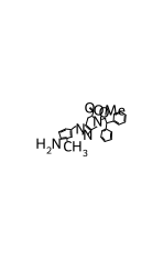 COC(=O)C1Cc2c(ncn2Cc2ccc(N)c(C)c2)CN1C(=O)C(c1ccccc1)c1ccccc1